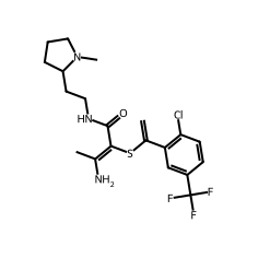 C=C(S/C(C(=O)NCCC1CCCN1C)=C(/C)N)c1cc(C(F)(F)F)ccc1Cl